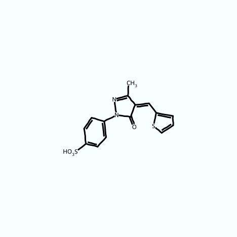 CC1=NN(c2ccc(S(=O)(=O)O)cc2)C(=O)C1=Cc1cccs1